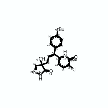 CC1(CC=C(c2ccc(C(C)(C)C)cc2)c2ccc(Cl)c(=O)[nH]2)C=NNC1=O